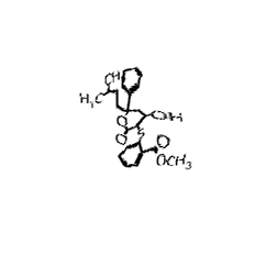 COC(=O)c1ccccc1SC1=C(O)CC(CCC(C)C)(c2ccccc2)OC1=O